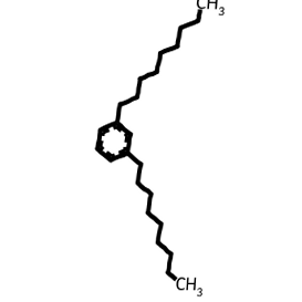 CCCCCCCCCc1cccc(CCCCCCCCC)c1